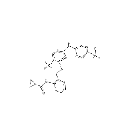 O=C(Nc1ccccc1CCc1nc(Nc2ccc(C(F)(F)F)nc2)ncc1C(F)(F)F)C1CC1